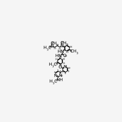 CNc1nccc(-c2cccnc2Oc2ccc(NC(=O)Nc3cc(C)ccc3N(C)CCCN(C)C)cc2C)n1